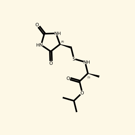 CC(C)OC(=O)[C@H](C)NSC[C@@H]1NC(=O)NC1=O